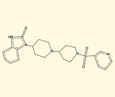 O=c1[nH]c2ccccc2n1C1CCN(C2CCN(S(=O)(=O)c3cccnc3)CC2)CC1